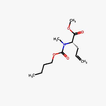 C=CC[C@@H](C(=O)OC)N(C)C(=O)OCCCC